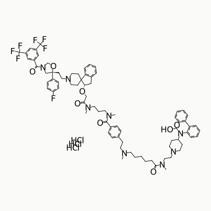 CN(CCCCCC(=O)N(C)CCN1CCC(N(C(=O)O)c2ccccc2-c2ccccc2)CC1)CCc1ccc(C(=O)N(C)CCCN(C)C(=O)CO[C@H]2Cc3ccccc3C23CCN(CC[C@@]2(c4ccc(F)cc4)CN(C(=O)c4cc(C(F)(F)F)cc(C(F)(F)F)c4)CO2)CC3)cc1.Cl.Cl.Cl